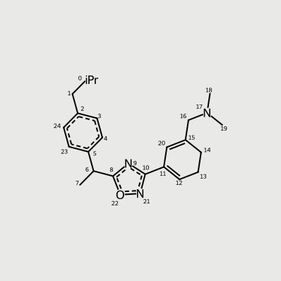 CC(C)Cc1ccc(C(C)c2nc(C3=CCCC(CN(C)C)=C3)no2)cc1